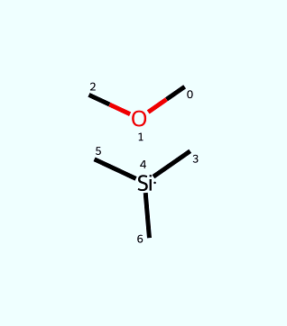 COC.C[Si](C)C